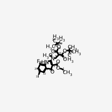 CCOC(=O)c1c(N(C)CC(C(=O)OC(C)(C)C)C(=O)OC(C)(C)C)[nH]c2c(F)cc(I)cc2c1=O